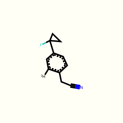 [2H]c1cc(C2(F)CC2)ccc1CC#N